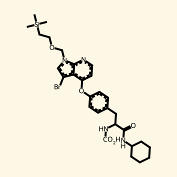 C[Si](C)(C)CCOCn1cc(Br)c2c(Oc3ccc(CC(NC(=O)O)C(=O)NC4CCCCC4)cc3)ccnc21